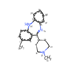 Cc1ccc2c(c1)C(C1CCN(C)CC1)=Nc1ccccc1N2